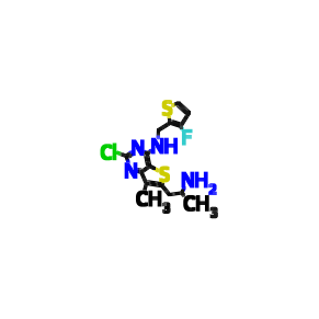 Cc1c(CC(C)N)sc2c(NCc3sccc3F)nc(Cl)nc12